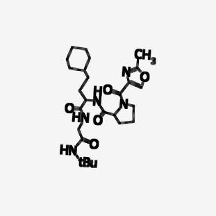 Cc1nc(C(=O)N2CCCC2C(=O)NC(CCC2CCCCC2)C(=O)NCC(=O)NC(C)(C)C)co1